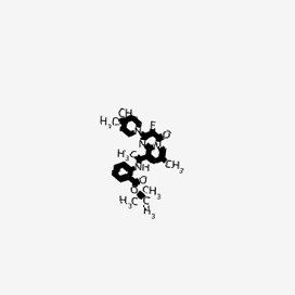 Cc1cc(C(C)Nc2ccccc2C(=O)OC(C)(C)C)c2nc(N3CCC(C)(C)CC3)c(F)c(=O)n2c1